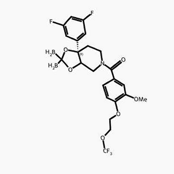 BC1(B)OC2CN(C(=O)c3ccc(OCCOC(F)(F)F)c(OC)c3)CC[C@]2(c2cc(F)cc(F)c2)O1